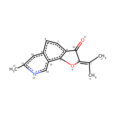 CC(C)=C1Oc2c(ccc3cc(C)ncc23)C1=O